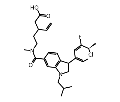 C=CC(CCN(C)C(=O)c1ccc2c(c1)N(CC(C)C)CC2C(=C/C)/C=C(/F)[C@@H](C)Cl)CC(=O)O